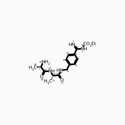 CCOC(=O)NC(=N)c1ccc(CNC(=O)[C@H](C)NC(=O)[C@@H](C)N)cc1